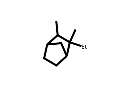 CCC1(C)C2CCC(C2)C1C